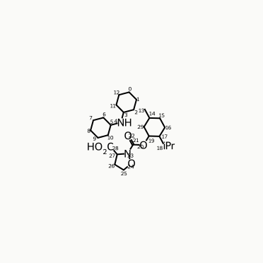 C1CCC(NC2CCCCC2)CC1.CC1CCC(C(C)C)C(OC(=O)N2OCCC2C(=O)O)C1